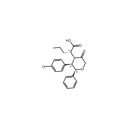 CCC[C@H](C(=O)O)N1C(=O)CO[C@@H](c2ccccc2)[C@H]1c1ccc(Cl)cc1